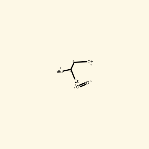 CCCCC(CC)CO.O=O